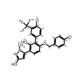 Cn1nc(O)cc1-c1ccc(OCc2ccc(Cl)cc2)c(-c2ccc(Cl)c(C(F)(F)F)c2)c1O